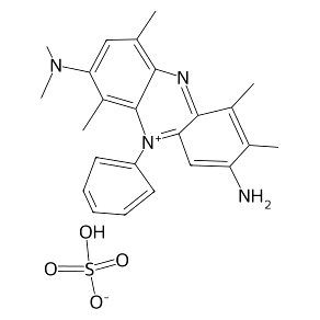 Cc1c(N)cc2c(nc3c(C)cc(N(C)C)c(C)c3[n+]2-c2ccccc2)c1C.O=S(=O)([O-])O